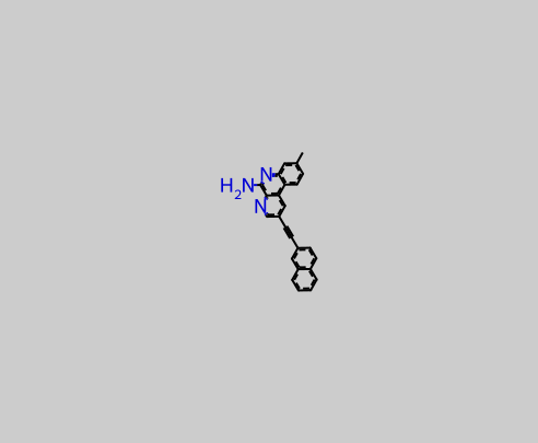 Cc1ccc2c(c1)nc(N)c1ncc(C#Cc3ccc4ccccc4c3)cc12